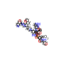 CC(C)Oc1ccccc1[C@@H]1CN([C@@H]2COCc3ccncc32)CCN1C1CC2(CCN(c3ccc(C(=O)NS(=O)(=O)c4cc5c(c([N+](=O)[O-])c4)N[C@H](C4CCOCC4)CO5)c(N4c5cc6cc[nH]c6nc5O[C@H]5COCC[C@@H]54)c3)CC2)C1